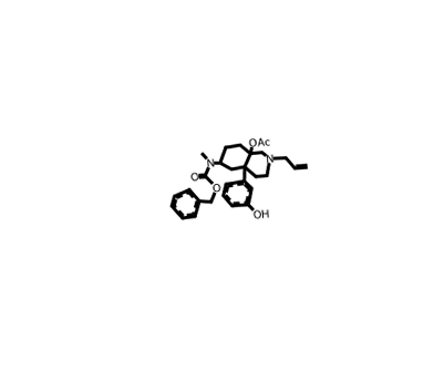 C=CCN1CCC2(c3cccc(O)c3)CC(N(C)C(=O)OCc3ccccc3)CCC2(OC(C)=O)C1